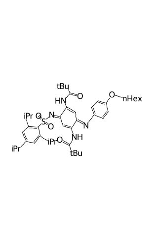 CCCCCCOc1ccc(N=C2C=C(NC(=O)C(C)(C)C)C(=NS(=O)(=O)c3c(C(C)C)cc(C(C)C)cc3C(C)C)C=C2NC(=O)C(C)(C)C)cc1